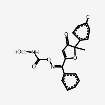 CCCCCCCCNC(=O)O/N=C(\C1=CC(=O)C(C)(c2ccc(Cl)cc2)O1)c1ccccc1